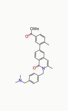 COC(=O)c1ccc(C)c(-c2ccc3c(=O)n(Cc4ccc(CN(C)C)cc4)c(C)cc3c2)c1